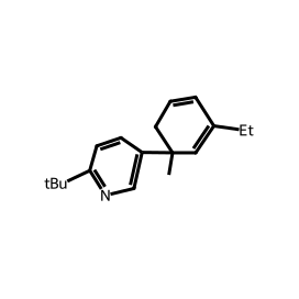 CCC1=CC(C)(c2ccc(C(C)(C)C)nc2)CC=C1